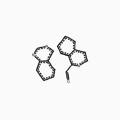 O=Cc1nccc2ccccc12.c1ccc2ncncc2c1